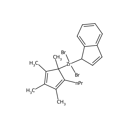 CCCC1=C(C)C(C)=C(C)[C]1(C)[Zr]([Br])([Br])[CH]1C=Cc2ccccc21